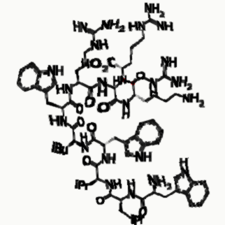 CC[C@H](C)[C@H](NC(=O)[C@H](Cc1c[nH]c2ccccc12)NC(=O)[C@@H](NC(=O)[C@H](CC(C)C)NC(=O)[C@@H](N)Cc1c[nH]c2ccccc12)C(C)C)C(=O)N[C@@H](Cc1c[nH]c2ccccc12)C(=O)N[C@@H](CCCNC(=N)N)C(=O)N[C@@H](CCCNC(=N)N)C(=O)N[C@@H](CCCCN)C(=O)N[C@@H](CCCNC(=N)N)C(=O)O